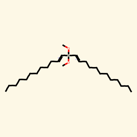 CCCCCCCCCC/C=C/[Si](/C=C/CCCCCCCCCC)(OC)OC